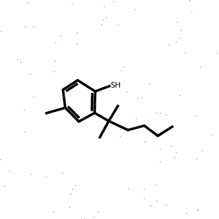 CCCCC(C)(C)c1cc(C)ccc1S